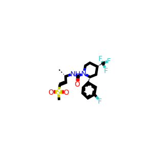 C[C@@H](/C=C/S(C)(=O)=O)NC(=O)N1CC[C@H](C(F)(F)F)C[C@@H]1c1cccc(F)c1